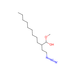 CCCCCCCCCC(CCN=[N+]=[N-])C(O)OC